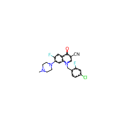 CN1CCN(c2cc3c(cc2F)c(=O)c(C#N)cn3Cc2ccc(Cl)cc2F)CC1